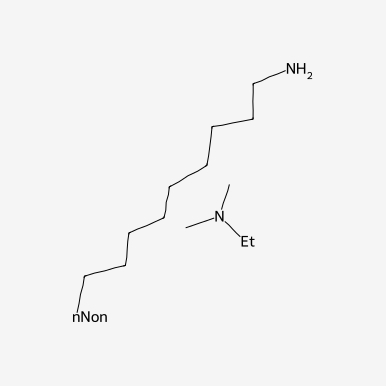 CCCCCCCCCCCCCCCCCCN.CCN(C)C